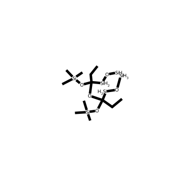 CCC(OC(CC)(O[Si](C)(C)C)[SiH2]O[SiH3])(O[Si](C)(C)C)[SiH2]O[SiH3]